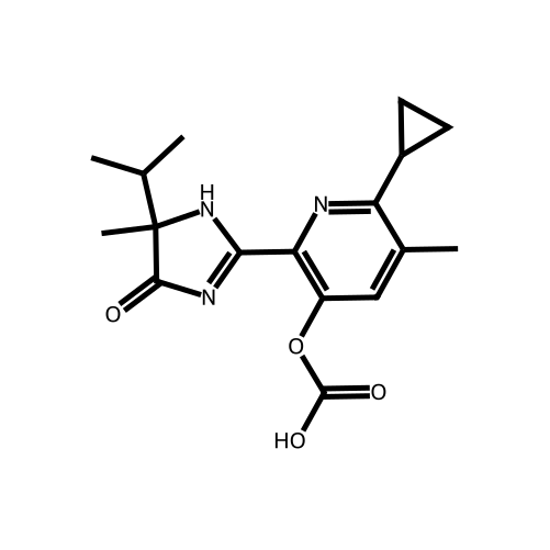 Cc1cc(OC(=O)O)c(C2=NC(=O)C(C)(C(C)C)N2)nc1C1CC1